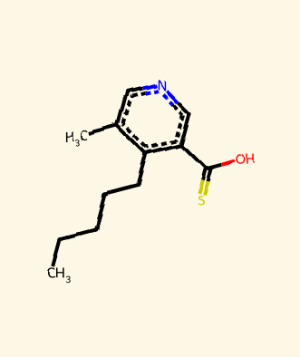 CCCCCc1c(C)cncc1C(O)=S